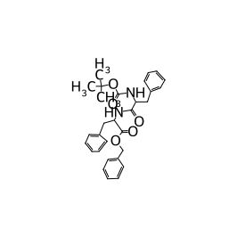 CC(C)(C)OC(=O)NC(Cc1ccccc1)C(=O)NC(Cc1ccccc1)C(=O)OCc1ccccc1